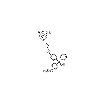 COc1ccc(C(O)(c2ccccc2)c2ccc(OCCCCCC(=O)OC(C)(C)C)cc2)cc1